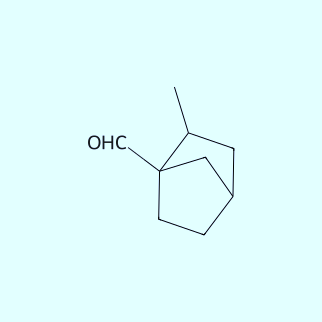 CC1CC2CCC1(C=O)C2